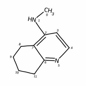 CNc1ccnc2c1CCCC2